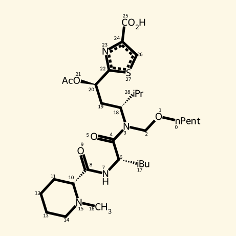 CCCCCOCN(C(=O)[C@@H](NC(=O)[C@H]1CCCCN1C)C(C)CC)[C@H](C[C@@H](OC(C)=O)c1nc(C(=O)O)cs1)C(C)C